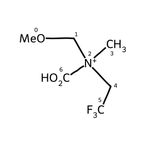 COC[N+](C)(CC(F)(F)F)C(=O)O